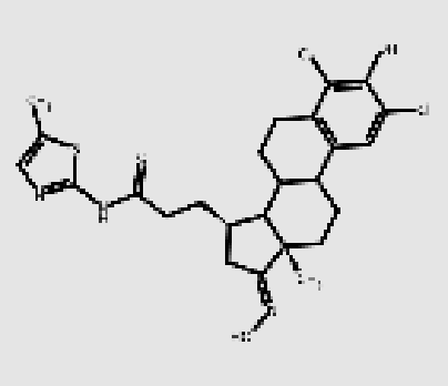 Cc1cnc(NC(=O)CC[C@@H]2C/C(=N\O)[C@@]3(C)CCC4c5cc(Cl)c(O)c(Cl)c5CCC4C23)s1